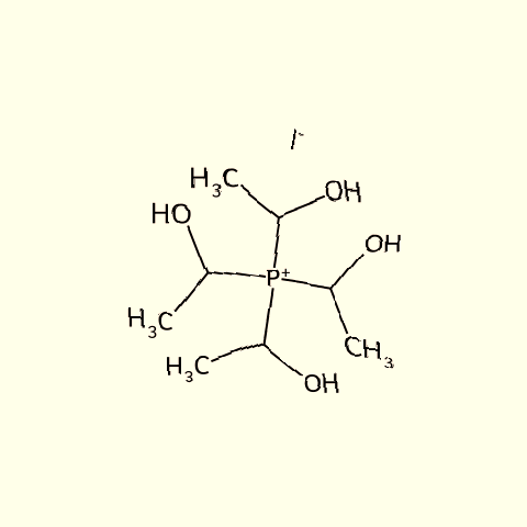 CC(O)[P+](C(C)O)(C(C)O)C(C)O.[I-]